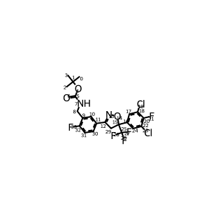 CC(C)(C)OC(=O)NCc1cc(C2=NOC(c3cc(Cl)c(F)c(Cl)c3)(C(F)(F)F)C2)ccc1F